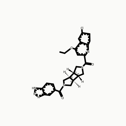 CCOc1cc(C(=O)N2C[C@@H]3[C@H]4CN(C(=O)c5ccc6[nH]nnc6c5)C[C@H]4[C@@H]3C2)nc2ccc(Cl)cc12